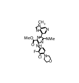 CNc1nc(Nc2ccc(N3CCOCC3)c(Cl)c2F)c(C(=O)OC)nc1-c1cncc2c1ncn2C